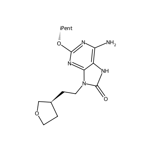 CCC[C@@H](C)Oc1nc(N)c2[nH]c(=O)n(CC[C@H]3CCOC3)c2n1